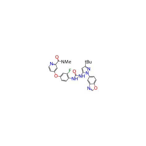 CNC(=O)c1cc(Oc2ccc(NC(=O)Nc3cc(C(C)(C)C)nn3-c3ccc4ocnc4c3)c(F)c2)ccn1